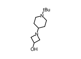 CC(C)(C)N1CCC(N2CC(O)C2)CC1